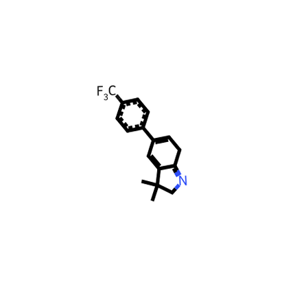 CC1(C)CN=C2CC=C(c3ccc(C(F)(F)F)cc3)C=C21